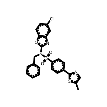 Cc1cnc(-c2ccc(S(=O)(=O)N(Cc3ccccc3)c3nc4cc(Cl)ccc4o3)cc2)s1